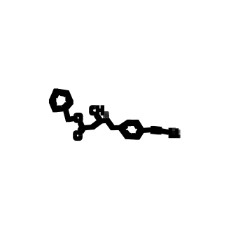 CCC#Cc1ccc(CCC(C)CC(=O)OCc2ccccc2)cc1